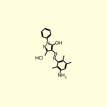 Cc1cc(N)c(C)c(N=Nc2c(C)nn(-c3ccccc3)c2O)c1C.Cl